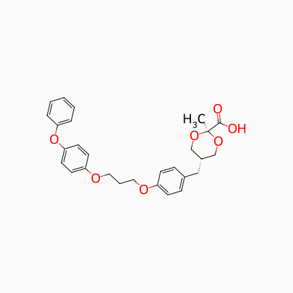 C[C@]1(C(=O)O)OC[C@H](Cc2ccc(OCCCOc3ccc(Oc4ccccc4)cc3)cc2)CO1